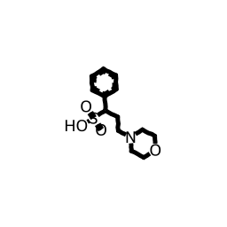 O=S(=O)(O)C(CCN1CCOCC1)c1ccccc1